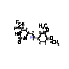 COc1ccc(/C=C/c2cc(C(F)(F)F)[nH]c(=O)n2)cc1OC